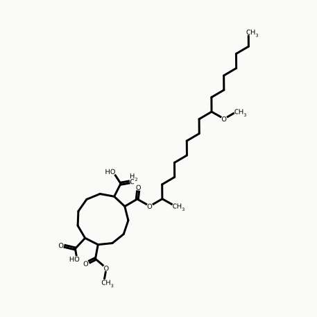 C=C(O)C1CCCCC(C(=O)O)C(C(=O)OC)CCCC1C(=O)OC(C)CCCCCCCC(CCCCCCC)OC